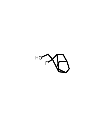 OCC1(F)C2CC3CC(C2)CC1C3